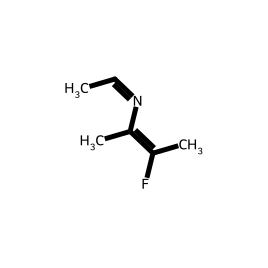 C/C=N\C(C)=C(/C)F